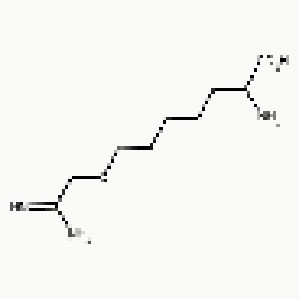 N=C(N)COCCCCCC(N)C(=O)O